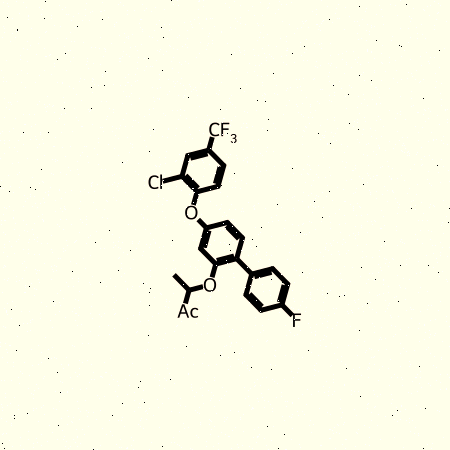 CC(=O)C(C)Oc1cc(Oc2ccc(C(F)(F)F)cc2Cl)ccc1-c1ccc(F)cc1